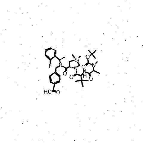 CC(C(=O)NC(C(=O)N1C[Si](C)(C)CC1C(=O)N(Cc1ccc(C(=O)O)cc1)[C@H](C)c1ccccc1F)C(C)(C)C)N(C)C(=O)OC(C)(C)C